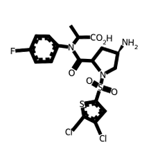 CC(C(=O)O)N(C(=O)C1C[C@@H](N)CN1S(=O)(=O)c1cc(Cl)c(Cl)s1)c1ccc(F)cc1